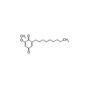 CCCCCCCCCC1=CC(=O)C=C(OC)C1=O